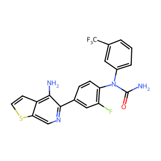 NC(=O)N(c1cccc(C(F)(F)F)c1)c1ccc(-c2ncc3sccc3c2N)cc1F